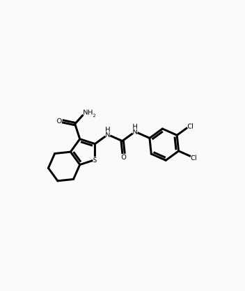 NC(=O)c1c(NC(=O)Nc2ccc(Cl)c(Cl)c2)sc2c1CCCC2